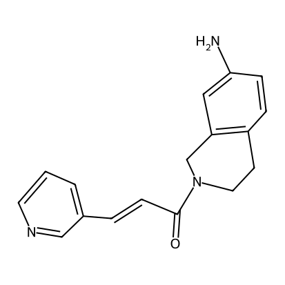 Nc1ccc2c(c1)CN(C(=O)/C=C/c1cccnc1)CC2